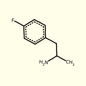 C[C](N)Cc1ccc(F)cc1